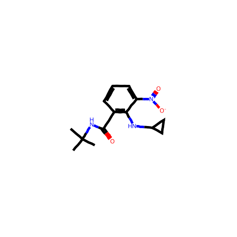 CC(C)(C)NC(=O)c1cccc([N+](=O)[O-])c1NC1CC1